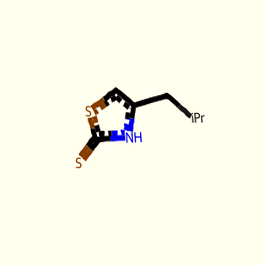 CC(C)Cc1csc(=S)[nH]1